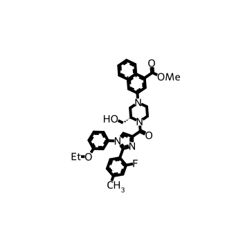 CCOc1cccc(-n2cc(C(=O)N3CCN(c4cc(C(=O)OC)c5ccccc5c4)C[C@H]3CO)nc2-c2ccc(C)cc2F)c1